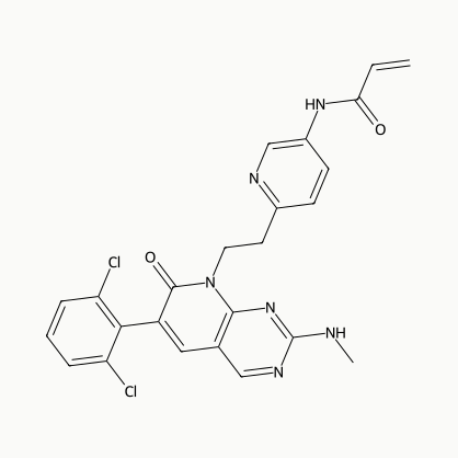 C=CC(=O)Nc1ccc(CCn2c(=O)c(-c3c(Cl)cccc3Cl)cc3cnc(NC)nc32)nc1